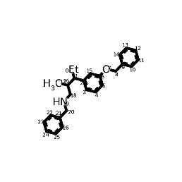 CCC(c1cccc(OCc2ccccc2)c1)C(C)CNCc1ccccc1